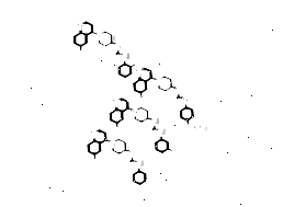 COc1ccc(NC(=S)NC2CCN(c3ccnc4ccc(Cl)cc34)CC2)cc1.S=C(Nc1cccc(Cl)c1)NC1CCN(c2ccnc3ccc(Cl)cc23)CC1.S=C(Nc1ccccc1)NC1CCN(c2ccnc3ccc(Cl)cc23)CC1.S=C(Nc1ccccc1Cl)NC1CCN(c2ccnc3ccc(Cl)cc23)CC1